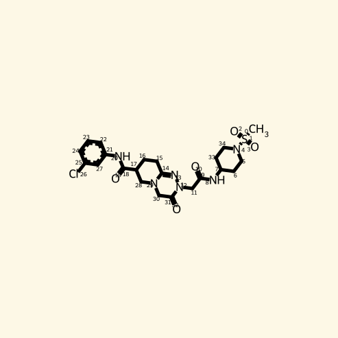 CS(=O)(=O)N1CCC(NC(=O)CN2N=C3CCC(C(=O)Nc4cccc(Cl)c4)CN3CC2=O)CC1